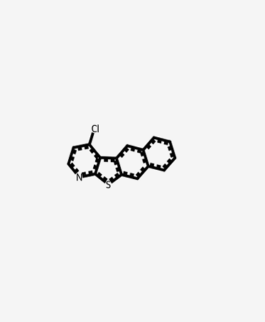 Clc1ccnc2sc3cc4ccccc4cc3c12